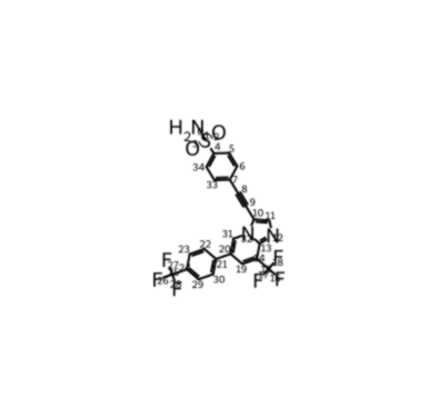 NS(=O)(=O)c1ccc(C#Cc2cnc3c(C(F)(F)F)cc(-c4ccc(C(F)(F)F)cc4)cn23)cc1